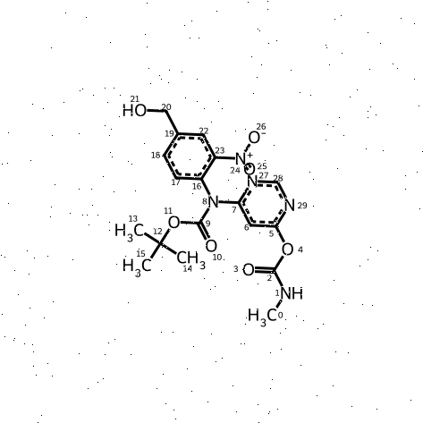 CNC(=O)Oc1cc(N(C(=O)OC(C)(C)C)c2ccc(CO)cc2[N+](=O)[O-])ncn1